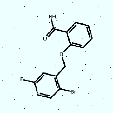 NC(=O)c1ccccc1OCc1cc(F)ccc1Br